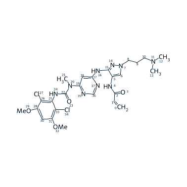 C=CC(=O)Nc1cn(CCCN(C)C)nc1Nc1cc(N(C)C(=O)Nc2c(Cl)c(OC)cc(OC)c2Cl)ncn1